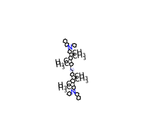 CC1(C)c2cc(/C=C/c3ccc4c(c3)C(C)(C)c3cc5c(cc3-4)C(C)(C)c3cc(N(c4ccccc4)c4ccc6ccccc6c4)ccc3-5)ccc2-c2cc3c(cc21)-c1ccc(N(c2ccccc2)c2ccc4ccccc4c2)cc1C3(C)C